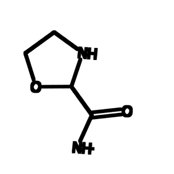 [NH]C(=O)C1NCCO1